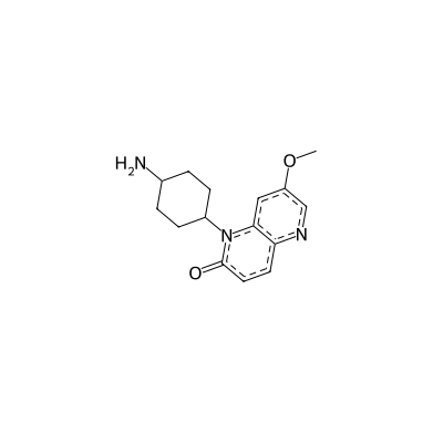 COc1cnc2ccc(=O)n(C3CCC(N)CC3)c2c1